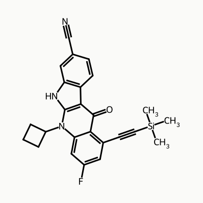 C[Si](C)(C)C#Cc1cc(F)cc2c1c(=O)c1c3ccc(C#N)cc3[nH]c1n2C1CCC1